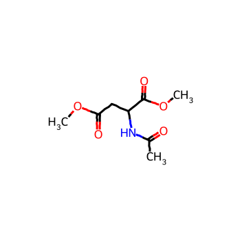 COC(=O)CC(NC(C)=O)C(=O)OC